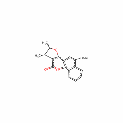 COc1cc2c3c(c(=O)oc2c2ccccc12)[C@@H](C)[C@@H](C)O3